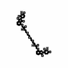 O=C(COc1cccc2c1CN(C1CCC(=O)NC1=O)C2=O)NCCOCCOCCOCCNC(=O)COc1cccc2c1C(=O)N(C1CCC(=O)NC1=O)C2=O